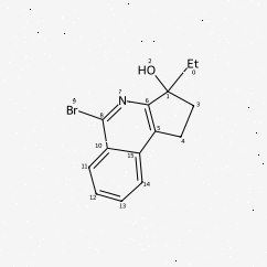 CCC1(O)CCc2c1nc(Br)c1ccccc21